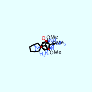 COc1cc(N2C3CCC2CC(c2c(N)nc(N)[nH]c2=O)C3)cc(OC)c1OC